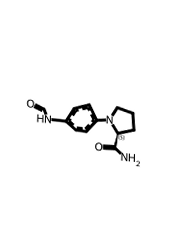 NC(=O)[C@@H]1CCCN1c1ccc(NC=O)cc1